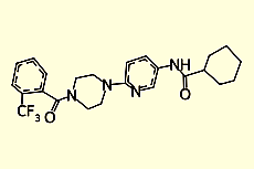 O=C(Nc1ccc(N2CCN(C(=O)c3ccccc3C(F)(F)F)CC2)nc1)C1CCCCC1